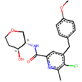 COc1ccc(Cc2cc(C(=O)N[C@H]3COCC[C@@H]3O)nc(C)c2Cl)cc1